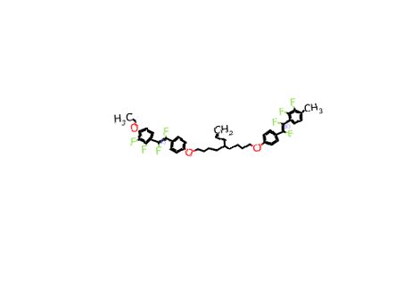 C=CCC(CCCCOc1ccc(/C(F)=C(\F)c2ccc(C)c(F)c2F)cc1)CCCCOc1ccc(/C(F)=C(\F)c2ccc(OCC)c(F)c2F)cc1